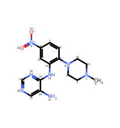 CN1CCN(c2ccc([N+](=O)[O-])cc2Nc2ncncc2N)CC1